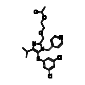 CC(=O)OCCOCc1nc(C(C)C)c(Sc2cc(Cl)cc(Cl)c2)n1Cc1ccncc1